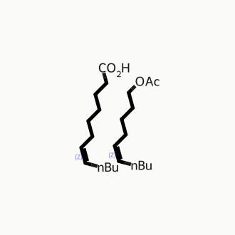 CCCC/C=C\CCCCCC(=O)O.CCCC/C=C\CCCCOC(C)=O